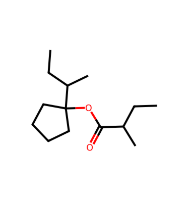 CCC(C)C(=O)OC1(C(C)CC)CCCC1